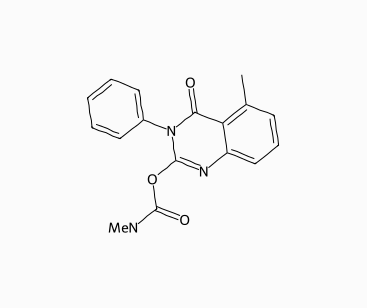 CNC(=O)Oc1nc2cccc(C)c2c(=O)n1-c1ccccc1